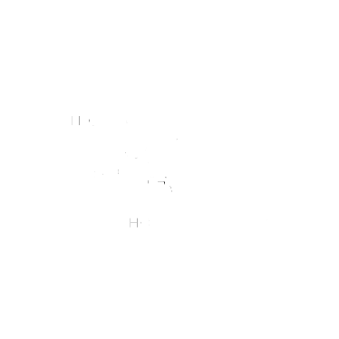 CC12CCC(C(=C(O)c3ccccc3)C1=O)C2(C)C